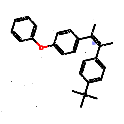 C/C(=C(\C)c1ccc([Si](C)(C)C)cc1)c1ccc(Oc2ccccc2)cc1